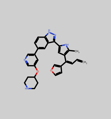 C=C/C=C(/c1ccoc1)c1cc(-c2n[nH]c3ccc(-c4cncc(OC5CCNCC5)c4)cc23)[nH]c1C